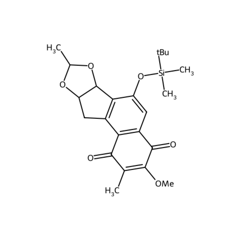 COC1=C(C)C(=O)c2c(cc(O[Si](C)(C)C(C)(C)C)c3c2CC2OC(C)OC32)C1=O